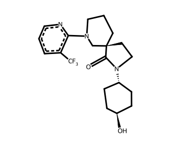 O=C1N([C@H]2CC[C@H](O)CC2)CC[C@@]12CCCN(c1ncccc1C(F)(F)F)C2